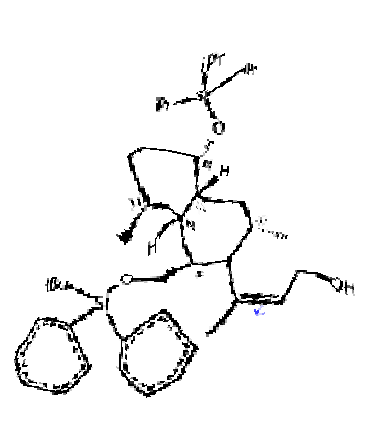 C/C(=C/CO)C1[C@@H](CO[Si](c2ccccc2)(c2ccccc2)C(C)(C)C)[C@H]2[C@@H](C[C@@H]1C)[C@@H](O[Si](C(C)C)(C(C)C)C(C)C)CC[C@@H]2C